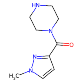 Cn1ccc(C(=O)N2CCNCC2)n1